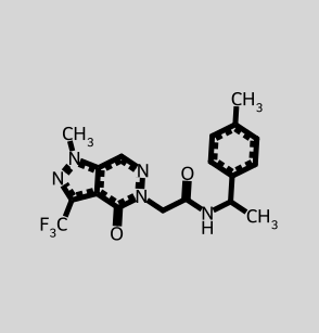 Cc1ccc(C(C)NC(=O)Cn2ncc3c(c(C(F)(F)F)nn3C)c2=O)cc1